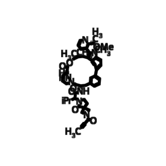 CC#CC(=O)N1CC2(CCN(C(C(=O)N[C@H]3Cc4cccc(c4)-c4ccc5c(c4)c(c(-c4cccnc4[C@H](C)OC)n5C)CC(C)(C)COC(=O)[C@@H]4CCCN(N4)C3=O)C(C)C)C2=O)C1